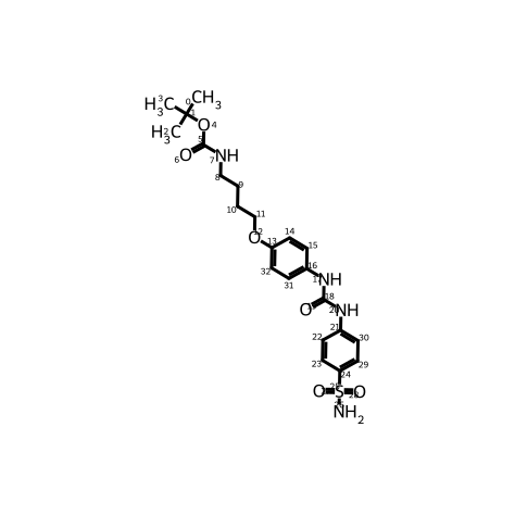 CC(C)(C)OC(=O)NCCCCOc1ccc(NC(=O)Nc2ccc(S(N)(=O)=O)cc2)cc1